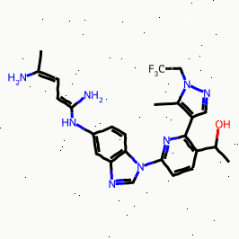 C/C(N)=C/C=C(\N)Nc1ccc2c(c1)ncn2-c1ccc(C(C)O)c(-c2cnn(CC(F)(F)F)c2C)n1